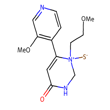 COCC[N+]1([S-])CNC(=O)C=C1c1ccncc1OC